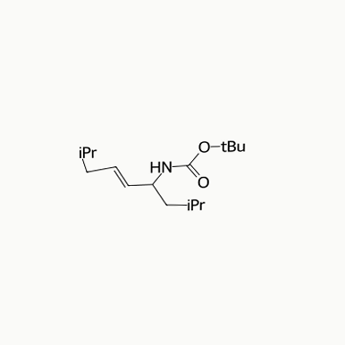 CC(C)C/C=C/C(CC(C)C)NC(=O)OC(C)(C)C